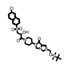 CC(C)(C)[Si](C)(C)OCN1C=C2C(=O)N(C3CCN(C(=O)[C@H](O)CS(=O)(=O)c4ccc5cc(Cl)ccc5c4)CC3)CN2C1